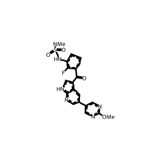 CNS(=O)(=O)Nc1cccc(C(=O)c2c[nH]c3ncc(-c4cnc(OC)nc4)cc23)c1F